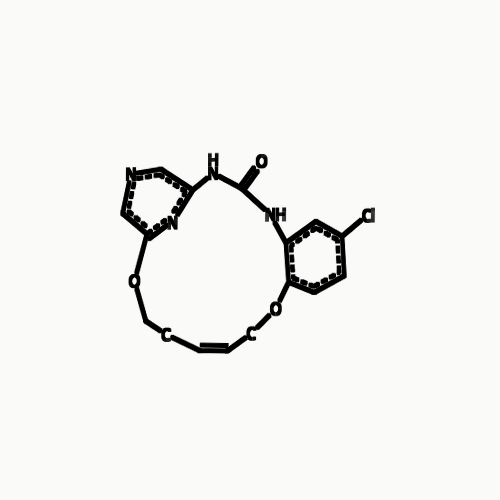 O=C1Nc2cncc(n2)OCC/C=C\COc2ccc(Cl)cc2N1